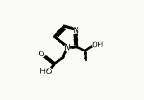 CC(O)c1nccn1CC(=O)O